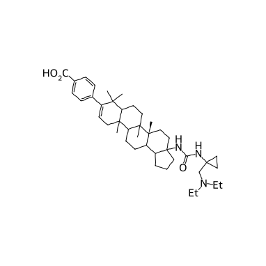 CCN(CC)CC1(NC(=O)NC23CCCC2C2CCC4C5(C)CC=C(c6ccc(C(=O)O)cc6)C(C)(C)C5CCC4(C)[C@]2(C)CC3)CC1